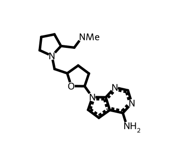 CNCC1CCCN1CC1CCC(n2ccc3c(N)ncnc32)O1